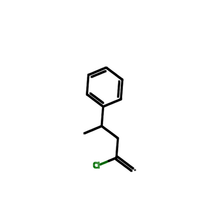 [CH]=C(Cl)CC(C)c1ccccc1